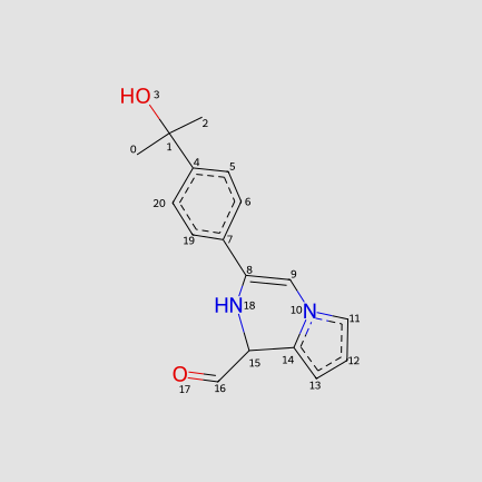 CC(C)(O)c1ccc(C2=Cn3cccc3C(C=O)N2)cc1